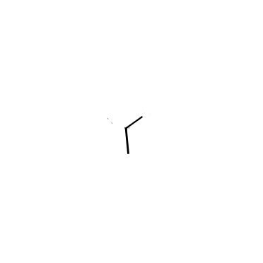 CC[O].N